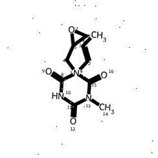 CC=C[N+]1(CC2CO2)C(=O)NC(=O)N(C)C1=O